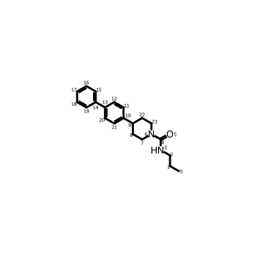 CCCNC(=O)N1CCC(c2ccc(-c3ccccc3)cc2)CC1